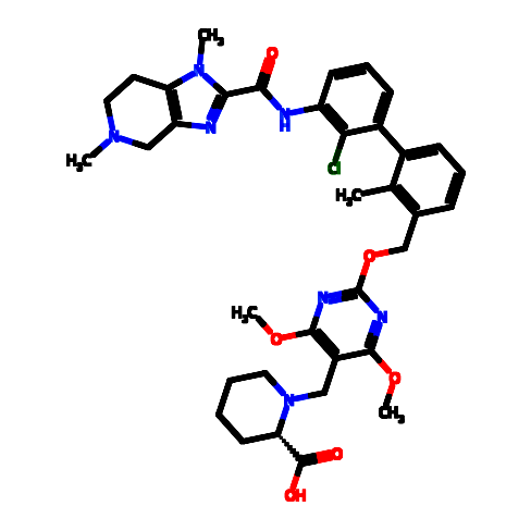 COc1nc(OCc2cccc(-c3cccc(NC(=O)c4nc5c(n4C)CCN(C)C5)c3Cl)c2C)nc(OC)c1CN1CCCC[C@H]1C(=O)O